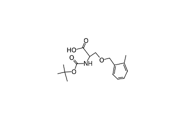 Cc1ccccc1COCC(NC(=O)OC(C)(C)C)C(=O)O